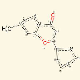 Cc1ccc2c(=O)cc(-c3ccccc3)oc2c1